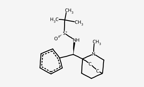 CN1CC2CCC1([C@H](N[S@+]([O-])C(C)(C)C)c1ccccc1)CC2